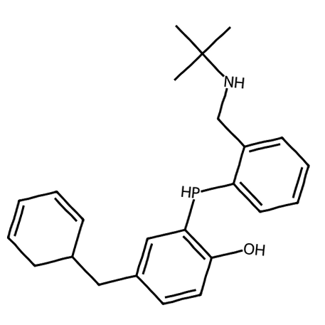 CC(C)(C)NCc1ccccc1Pc1cc(CC2C=CC=CC2)ccc1O